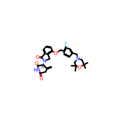 C=C1CC(=O)NC(=O)[C@@H]1N1Cc2c(OCc3ccc(CN4CC(C)(C)OC(C)(C)C4)cc3F)cccc2C1=O